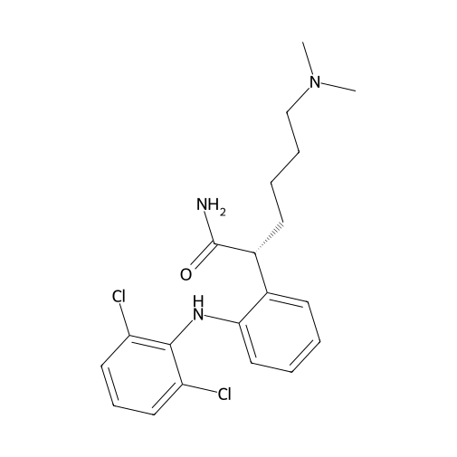 CN(C)CCCC[C@@H](C(N)=O)c1ccccc1Nc1c(Cl)cccc1Cl